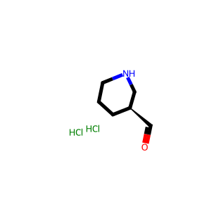 Cl.Cl.O=C[C@H]1CCCNC1